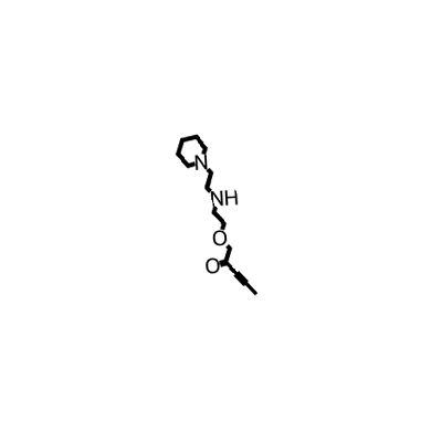 CC#CC(=O)COCCNCCN1CCCCC1